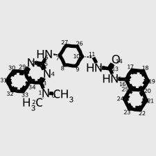 CN(C)c1nc(N[C@H]2CC[C@@H](CNC(=O)Nc3cccc4ccccc34)CC2)nc2ccccc12